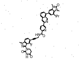 CC(C)c1cc(-c2cccc3cc(-c4ccc(C(=O)NCC#Cc5ccc6c(c(N7CCC(=O)NC7=O)nn6C)c5F)nc4)ncc23)cc2c1n(C)c(=O)n2C